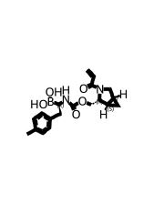 C=CC(=O)N1C[C@@H]2C[C@@H]2[C@@H]1COC(=O)N[C@@H](Cc1ccc(C)cc1)B(O)O